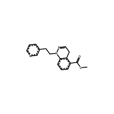 COC(=O)c1cccc2c1CC=NN2CCc1cccnc1